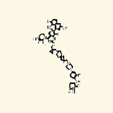 CCc1c(F)ccc2cc(O)cc(-c3ncc4c(N5CCC[C@@](C)(O)C5)nc(OCC5(CN6CCC7(CC6)CC(F)(CN6CCN(c8ccc(NC9CCC(=O)NC9=O)c(F)c8)CC6)C7)CC5)nc4c3F)c12